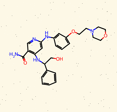 NC(=O)c1cnc(Nc2cccc(OCCN3CCOCC3)c2)cc1NC(CO)c1ccccc1